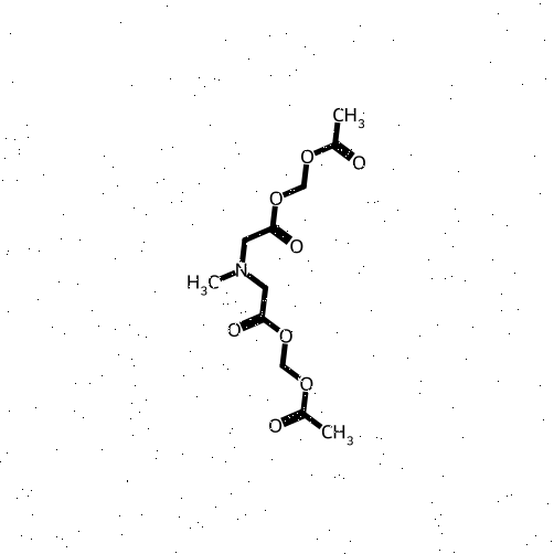 CC(=O)OCOC(=O)CN(C)CC(=O)OCOC(C)=O